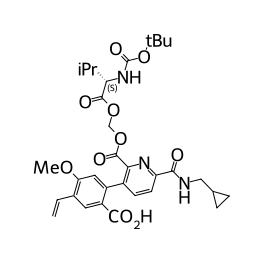 C=Cc1cc(C(=O)O)c(-c2ccc(C(=O)NCC3CC3)nc2C(=O)OCOC(=O)[C@@H](NC(=O)OC(C)(C)C)C(C)C)cc1OC